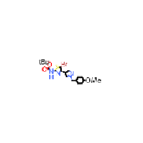 COc1ccc(Cn2cc(-c3nc(NC(=O)OC(C)(C)C)sc3Br)cn2)cc1